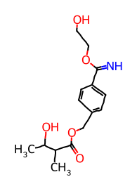 CC(O)C(C)C(=O)OCc1ccc(C(=N)OCCO)cc1